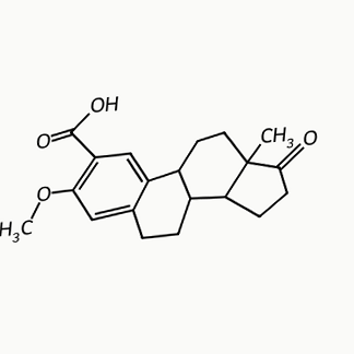 COc1cc2c(cc1C(=O)O)C1CCC3(C)C(=O)CCC3C1CC2